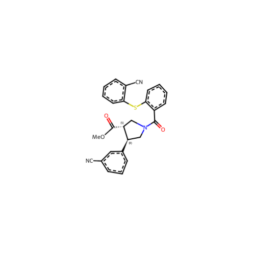 COC(=O)[C@@H]1CN(C(=O)c2ccccc2Sc2ccccc2C#N)C[C@H]1c1cccc(C#N)c1